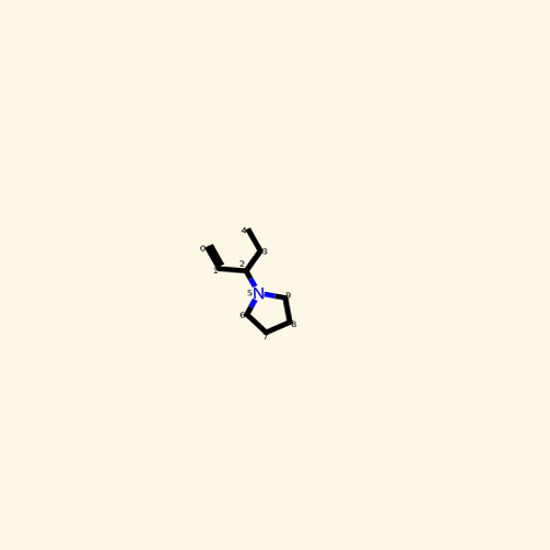 C=CC(CC)N1CCCC1